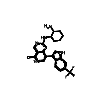 NC1CCCCC1Nc1ncc2c(=O)[nH]cc(-c3c[nH]c4cc(C(F)(F)F)ccc34)c2n1